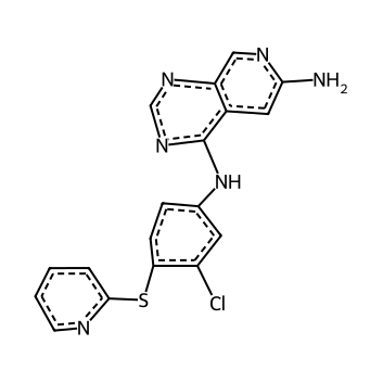 Nc1cc2c(Nc3ccc(Sc4ccccn4)c(Cl)c3)ncnc2cn1